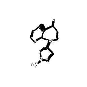 Cn1ccc(-n2ccc(=O)c3cccnc32)n1